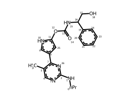 CCCNc1ncc(C)c(-c2c[nH]c(OC(=O)NC(CO)c3ccccc3)c2)n1